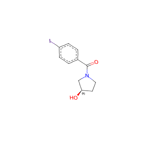 O=C(c1ccc(I)cc1)N1CC[C@@H](O)C1